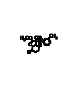 COC(=O)C(C)(C1CCCC(=O)C1)S(=O)(=O)c1cccc(C)c1